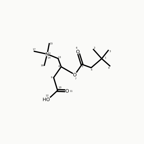 CC(C)(C)CC(=O)OC(CC(=O)O)C[N+](C)(C)C